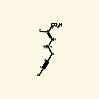 CC#CCNN=C(C)C(=O)O